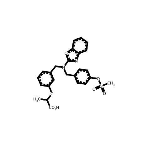 CC(Oc1cccc(CN(Cc2ccc(OS(C)(=O)=O)cc2)c2nc3ccccc3o2)c1)C(=O)O